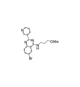 COCCCNc1nc(-c2cccnc2)nc2ccc(Br)cc12